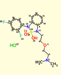 CN(C)CCOCCN1c2ccccc2N(c2ccc(F)cc2F)S1(O)O.Cl